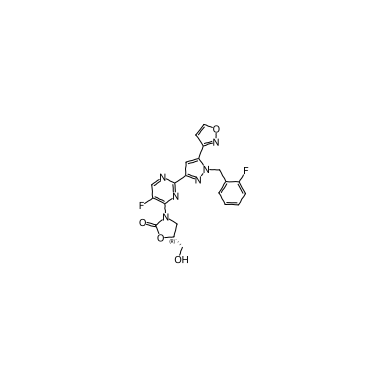 O=C1O[C@@H](CO)CN1c1nc(-c2cc(-c3ccon3)n(Cc3ccccc3F)n2)ncc1F